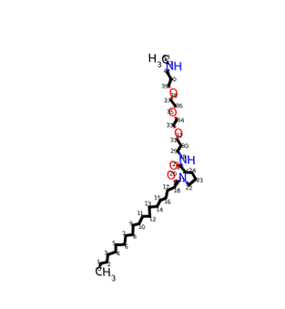 CCCCCCCCCCCCCCCCCCCC(=O)N1CCCC1C(=O)NCCCOCCOCCOCCCNC